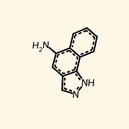 Nc1cc2cn[nH]c2c2ccccc12